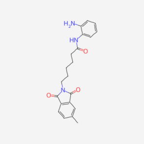 Cc1ccc2c(c1)C(=O)N(CCCCCC(=O)Nc1ccccc1N)C2=O